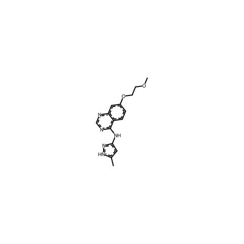 COCCOc1ccc2c(Nc3cc(C)[nH]n3)ncnc2c1